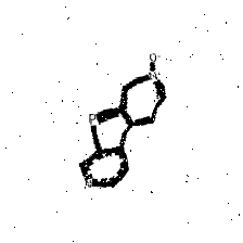 [O-][N+]1=CC=C2C(=Pc3cnccc32)C1